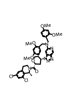 COc1ccc(CN(Cc2ccc(OC)cc2OC)c2cc3c(cn2)nnn3[C@@H]2CCO[C@@H](C(=O)N3CCc4cc(Cl)cc(Cl)c4[C@@H]3C)C2)c(OC)c1